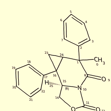 CC1(c2ccccc2)C(=O)N2C(=O)OC[C@H]2C2(c3ccccc3)CC12